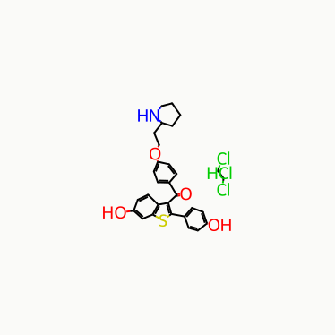 Cl.ClCCCl.O=C(c1ccc(OCCC2CCCCN2)cc1)c1c(-c2ccc(O)cc2)sc2cc(O)ccc12